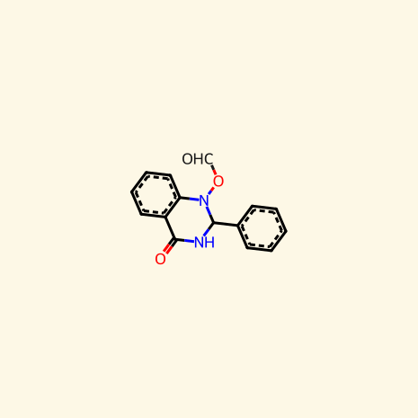 O=CON1c2ccccc2C(=O)NC1c1ccccc1